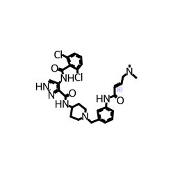 CN(C)C/C=C/C(=O)Nc1cccc(CN2CCC(NC(=O)c3n[nH]cc3NC(=O)c3c(Cl)cccc3Cl)CC2)c1